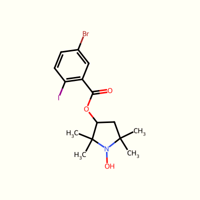 CC1(C)CC(OC(=O)c2cc(Br)ccc2I)C(C)(C)N1O